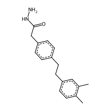 Cc1ccc(CCc2ccc(CC(=O)NN)cc2)cc1C